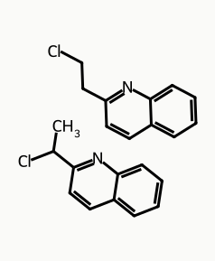 CC(Cl)c1ccc2ccccc2n1.ClCCc1ccc2ccccc2n1